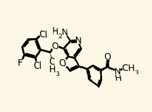 CNC(=O)c1cccc(-c2coc3c(O[C@H](C)c4c(Cl)ccc(F)c4Cl)c(N)ncc23)c1